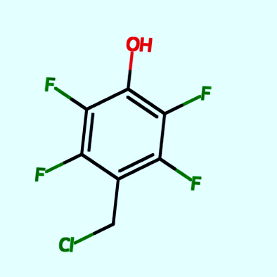 Oc1c(F)c(F)c(CCl)c(F)c1F